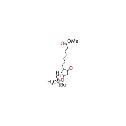 COC(=O)CCCCCCC1CC(O[Si](C)(C)C(C)(C)C)CC1=O